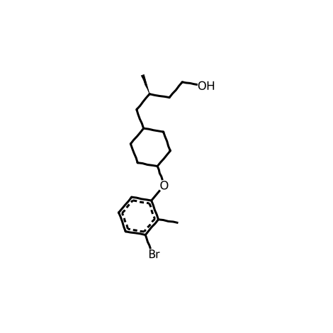 Cc1c(Br)cccc1OC1CCC(C[C@@H](C)CCO)CC1